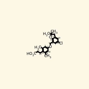 Cc1cc(OCc2cc(Cl)cc3c2OC(C)(C)C3)cc(C)c1CCC(=O)O